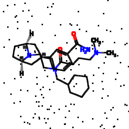 CN(C)CCCC(=O)N(CCN1[C@@H]2CC[C@H]1C[C@@H](c1cccc(C(N)=O)c1)C2)CC1CCCCC1